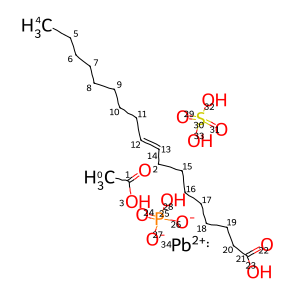 CC(=O)O.CCCCCCCCC=CCCCCCCCC(=O)O.O=P([O-])([O-])O.O=S(=O)(O)O.[Pb+2]